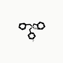 CCCCCC[N+](Cc1ccccc1)(Cc1ccccc1)Cc1ccccc1.[I-]